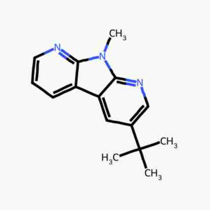 Cn1c2ncccc2c2cc(C(C)(C)C)cnc21